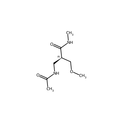 CNC(=O)[C@H](CNC(C)=O)COC